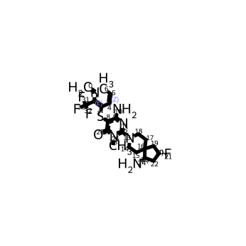 C=N/C(=C(\C=C/C)Sc1c(N)nc(N2CCC3(CC2)C[C@H](F)C[C@H]3N)n(C)c1=O)C(F)(F)F